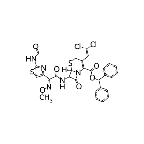 CON=C(C(=O)NC1C(=O)N2C(C(=O)OC(c3ccccc3)c3ccccc3)=C(C=C(Cl)Cl)CS[C@@H]12)c1csc(NC=O)n1